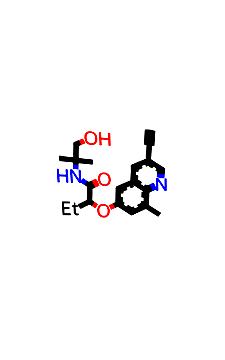 C#Cc1cnc2c(C)cc(OC(CC)C(=O)NC(C)(C)CO)cc2c1